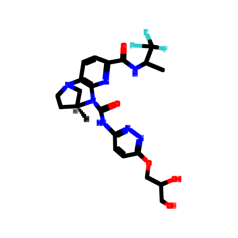 CC(NC(=O)c1ccc2c(n1)N(C(=O)Nc1ccc(OCC(O)CO)nn1)[C@H]1CCN2C1)C(F)(F)F